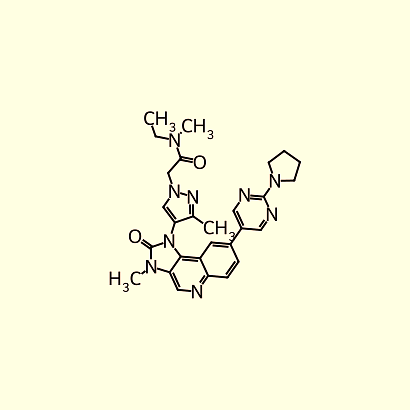 CCN(C)C(=O)Cn1cc(-n2c(=O)n(C)c3cnc4ccc(-c5cnc(N6CCCC6)nc5)cc4c32)c(C)n1